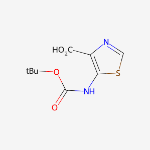 CC(C)(C)OC(=O)Nc1scnc1C(=O)O